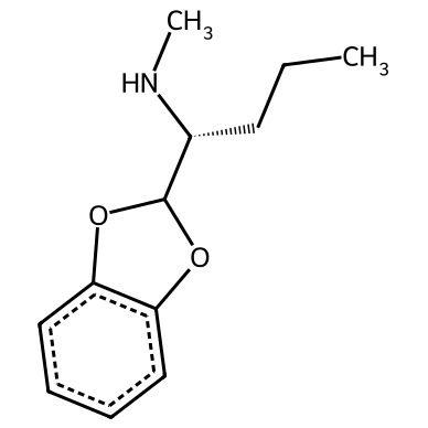 CCC[C@@H](NC)C1Oc2ccccc2O1